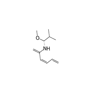 C=C/C=C\C(=C)N[C@H](OC)C(C)C